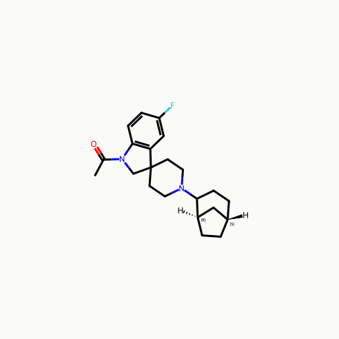 CC(=O)N1CC2(CCN(C3CC[C@@H]4CC[C@@H]3C4)CC2)c2cc(F)ccc21